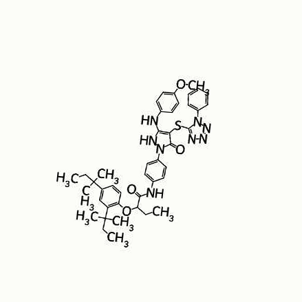 CCC(Oc1ccc(C(C)(C)CC)cc1C(C)(C)CC)C(=O)Nc1ccc(-n2[nH]c(Nc3ccc(OC)cc3)c(Sc3nnnn3-c3ccccc3)c2=O)cc1